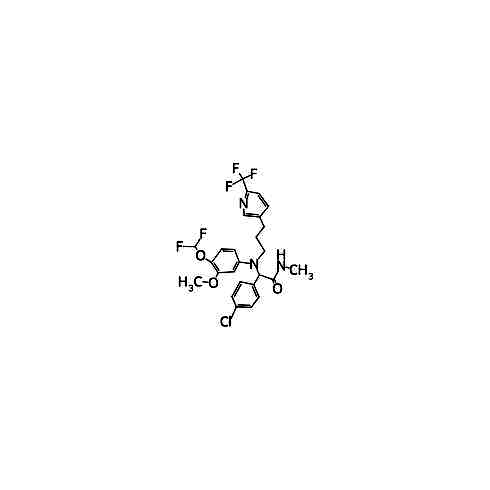 CNC(=O)C(c1ccc(Cl)cc1)N(CCCc1ccc(C(F)(F)F)nc1)c1ccc(OC(F)F)c(OC)c1